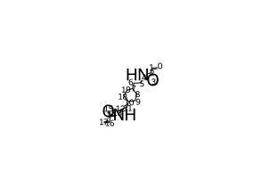 C=CC(=O)NCCC1CCC(CCNC(=O)C=C)CC1